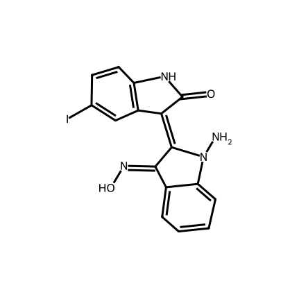 NN1C(=C2\C(=O)Nc3ccc(I)cc32)/C(=N/O)c2ccccc21